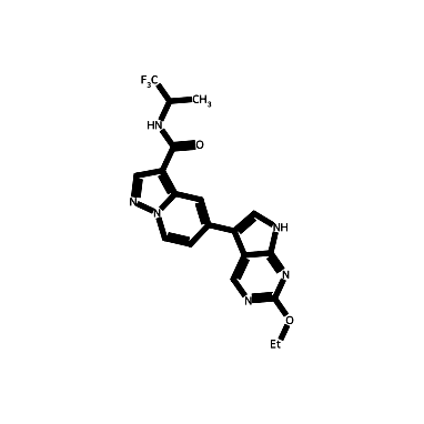 CCOc1ncc2c(-c3ccn4ncc(C(=O)NC(C)C(F)(F)F)c4c3)c[nH]c2n1